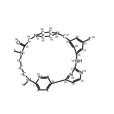 CN1CCCN(C)c2ccc(cn2)-c2ccnc(n2)Nc2cc(F)cc(c2)CN2CCN(CC2)CC1=O